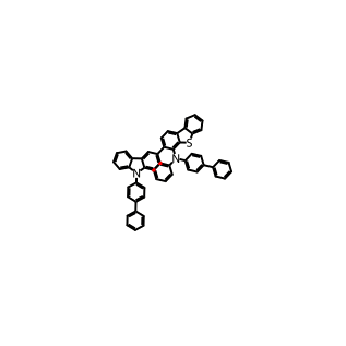 c1ccc(-c2ccc(N(c3ccccc3)c3c(-c4ccc5c(c4)c4ccccc4n5-c4ccc(-c5ccccc5)cc4)ccc4c3sc3ccccc34)cc2)cc1